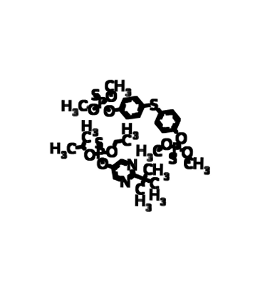 CCOP(=S)(Oc1cnc(C(C)(C)C)nc1)OC(C)C.COP(=S)(OC)Oc1ccc(Sc2ccc(OP(=S)(OC)OC)cc2)cc1